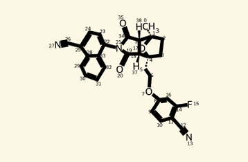 C[C@]12CC[C@](CCOc3ccc(C#N)c(F)c3)(O1)[C@@H]1C(=O)N(c3ccc(C#N)c4ccccc34)C(=O)[C@@H]12